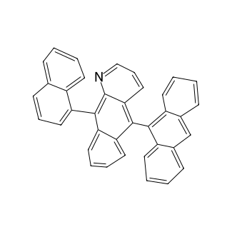 c1ccc2c(-c3c4ccccc4c(-c4c5ccccc5cc5ccccc45)c4cccnc34)cccc2c1